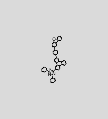 c1ccc(-c2nc(-c3ccccc3)nc(-c3ccc4c5ccccc5c5cc(-c6ccc(-c7ccc8oc9ccccc9c8c7)cc6)ccc5c4c3)n2)cc1